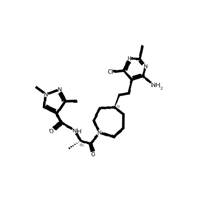 Cc1nc(N)c(CC[C@H]2CCCN(C(=O)[C@H](C)NC(=O)c3cn(C)nc3C)CC2)c(Cl)n1